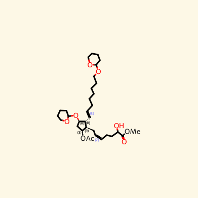 COC(=O)C(O)CC/C=C\C[C@@H]1[C@@H](/C=C/CCCCCCOC2CCCCO2)[C@H](OC2CCCCO2)C[C@@H]1OC(C)=O